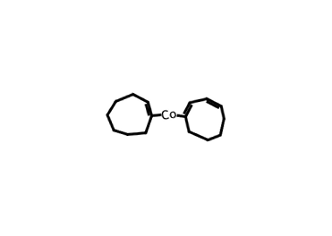 C1=CCCCC[C]([Co][C]2=CCCCCCC2)=C1